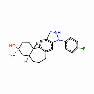 CC[C@]12CC[C@@](O)(C(F)(F)F)C[C@@H]1CCCc1cc3c(cc12)CNN3c1ccc(F)cc1